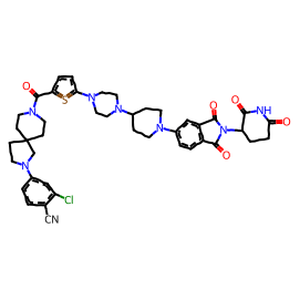 N#Cc1ccc(N2CCC3(CCN(C(=O)c4ccc(N5CCN(C6CCN(c7ccc8c(c7)C(=O)N(C7CCC(=O)NC7=O)C8=O)CC6)CC5)s4)CC3)C2)cc1Cl